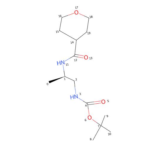 C[C@H](CNC(=O)OC(C)(C)C)NC(=O)C1CCOCC1